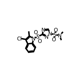 Cc1c(Cl)c2ccccc2n1S(=O)(=O)c1ncn(S(=O)(=O)N(C)C)n1